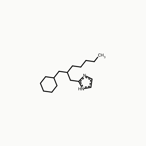 CCCCCC(Cc1ncc[nH]1)CC1CCCCC1